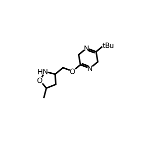 CC1CC(COC2=NCC(C(C)(C)C)=NC2)NO1